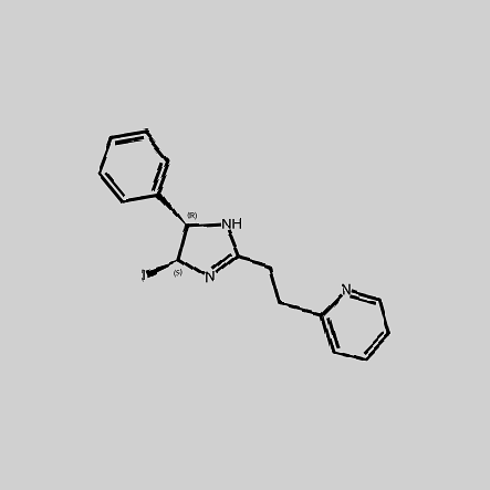 I[C@@H]1N=C(CCc2ccccn2)N[C@@H]1c1ccccc1